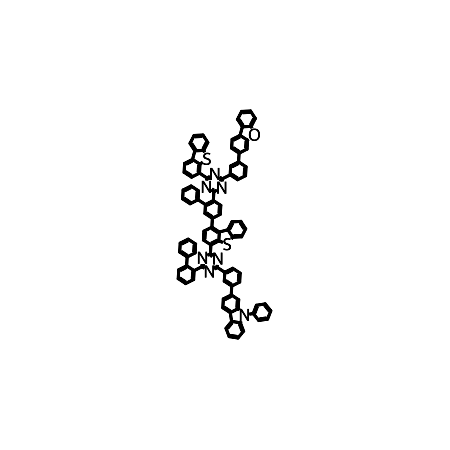 c1ccc(-c2cc(-c3ccc(-c4nc(-c5cccc(-c6ccc7c8ccccc8n(-c8ccccc8)c7c6)c5)nc(-c5ccccc5-c5ccccc5)n4)c4sc5ccccc5c34)ccc2-c2nc(-c3cccc(-c4ccc5c(c4)oc4ccccc45)c3)nc(-c3cccc4c3sc3ccccc34)n2)cc1